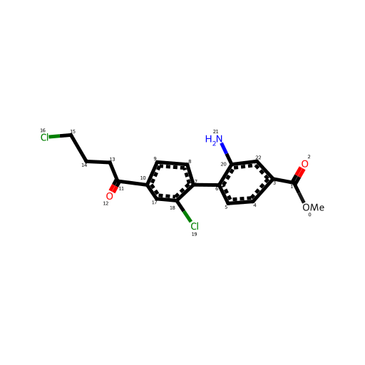 COC(=O)c1ccc(-c2ccc(C(=O)CCCCl)cc2Cl)c(N)c1